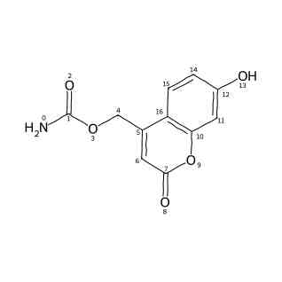 NC(=O)OCc1cc(=O)oc2cc(O)ccc12